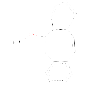 COC1Cc2ccccc2/C=C\C2C=CC=CC21